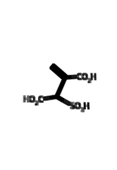 C=C(C(=O)O)C(C(=O)O)S(=O)(=O)O